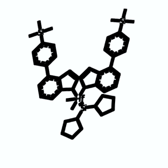 C[Si](C)(C)c1ccc(-c2cccc3c2C=C[CH]3[Hf]([CH3])([CH3])([CH]2C=Cc3c(-c4ccc([Si](C)(C)C)cc4)cccc32)=[Si](C2CCCC2)C2CCCC2)cc1